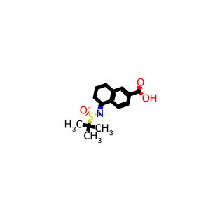 CC(C)(C)[S@@+]([O-])/N=C1\CCCc2cc(C(=O)O)ccc21